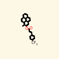 Cc1c(OC(=O)C=Cc2ccc(C(F)(F)F)cc2)cc2ccc3cccc4ccc1c2c34